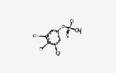 OP(=S)(Cl)Oc1cc(Cl)c(Cl)c(Cl)c1